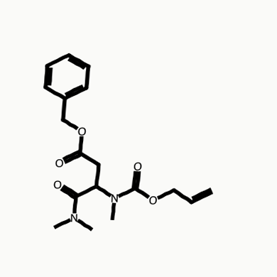 C=CCOC(=O)N(C)C(CC(=O)OCc1ccccc1)C(=O)N(C)C